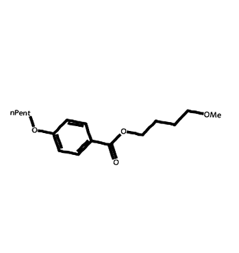 CCCCCOc1ccc(C(=O)OCCCCOC)cc1